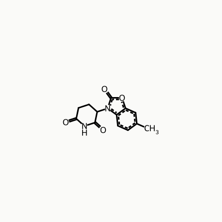 Cc1ccc2c(c1)oc(=O)n2C1CCC(=O)NC1=O